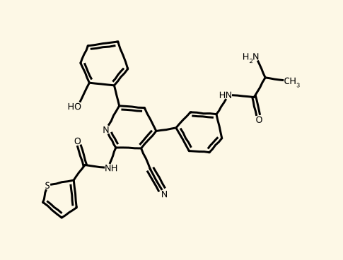 CC(N)C(=O)Nc1cccc(-c2cc(-c3ccccc3O)nc(NC(=O)c3cccs3)c2C#N)c1